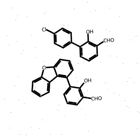 O=Cc1cccc(-c2ccc(Cl)cc2)c1O.O=Cc1cccc(-c2cccc3oc4ccccc4c23)c1O